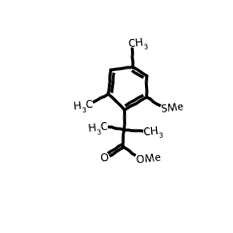 COC(=O)C(C)(C)c1c(C)cc(C)cc1SC